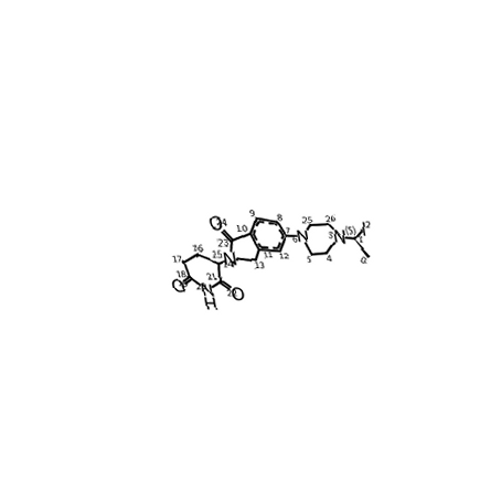 C[C@H](I)N1CCN(c2ccc3c(c2)CN(C2CCC(=O)NC2=O)C3=O)CC1